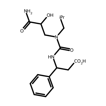 CC(C)CN(CC(O)C(N)=O)C(=O)NC(CC(=O)O)c1ccccc1